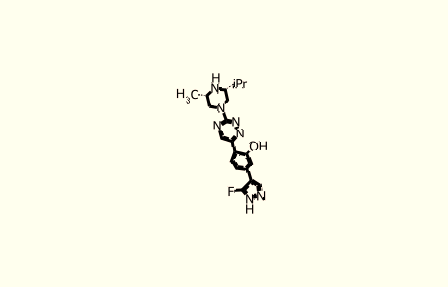 CC(C)[C@@H]1CN(c2ncc(-c3ccc(-c4cn[nH]c4F)cc3O)nn2)C[C@H](C)N1